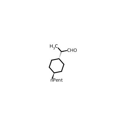 CCCCC[C@H]1CC[C@H](C(C)C=O)CC1